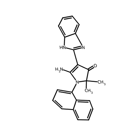 CC1(C)C(=O)C(c2nc3ccccc3[nH]2)=C(N)N1c1cccc2ccccc12